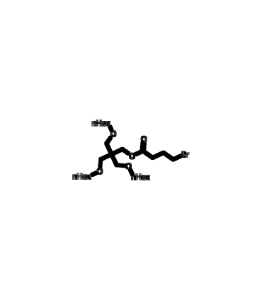 CCCCCCOCC(COCCCCCC)(COCCCCCC)COC(=O)CCCBr